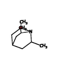 CC1CC2CC(C)N1C(C)C2